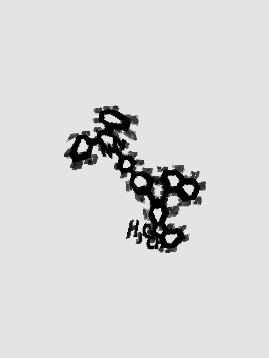 CC1(C)c2ccccc2-c2cc(-c3cccc4ccccc34)c(-c3ccc(-c4ccc(-c5nc(-c6ccccc6)cc(-c6ccccc6)n5)cc4)cc3)cc21